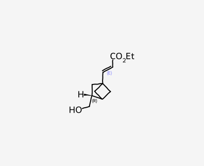 CCOC(=O)/C=C/C12CC(C1)[C@H](CO)C2